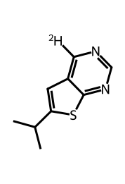 [2H]c1ncnc2sc(C(C)C)cc12